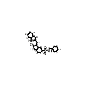 O=C1Nc2ccc(S(=O)(=O)NCc3ccccc3)cc2/C1=C/c1cc2ccccc2[nH]1